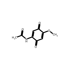 COC1=CC(=O)C(NC(C)=O)=CC1=O